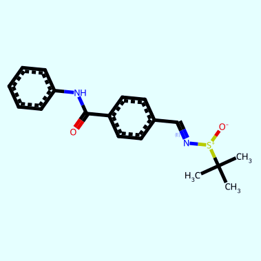 CC(C)(C)[S+]([O-])/N=C/c1ccc(C(=O)Nc2ccccc2)cc1